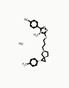 Cl.Cn1c(SCCCN2CC[C@]3(C[C@@H]3c3ccc(C(F)(F)F)cc3)C2)nnc1-c1ccc(C#N)cc1